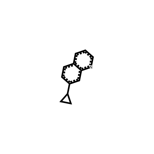 c1cnc2cc(C3CC3)ccc2c1